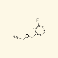 C#CCOCc1[c]c(F)ccc1